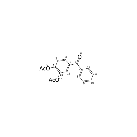 CC(=O)Oc1ccc(C(=O)c2ccccc2)cc1OC(C)=O